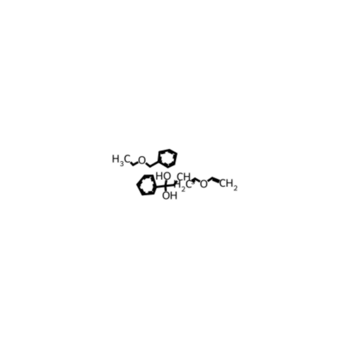 C=COC=C.CCC(O)(O)c1ccccc1.CCOCc1ccccc1